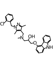 Cc1nn(Cc2ccccc2Cl)c(C)c1CN(C)CC(O)COc1cccc2[nH]c3ccccc3c12